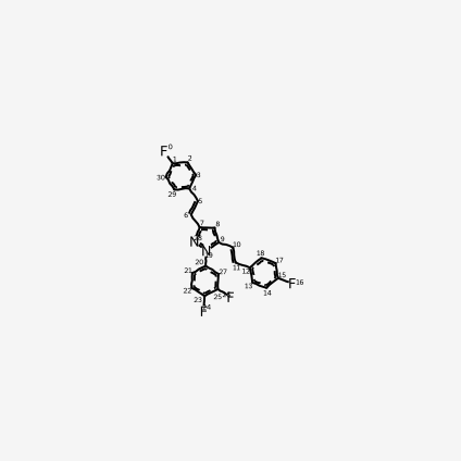 Fc1ccc(/C=C/c2cc(/C=C/c3ccc(F)cc3)n(-c3ccc(F)c(F)c3)n2)cc1